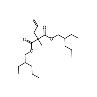 C=CCC(C)(C(=O)OCC(CC)CCC)C(=O)OCC(CC)CCC